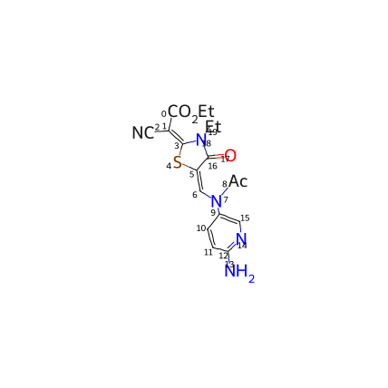 CCOC(=O)C(C#N)=c1sc(=CN(C(C)=O)c2ccc(N)nc2)c(=O)n1CC